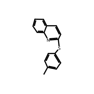 Cc1ccc(Sc2ccc3ccccc3n2)cc1